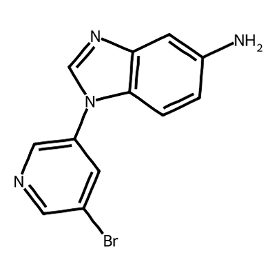 Nc1ccc2c(c1)ncn2-c1cncc(Br)c1